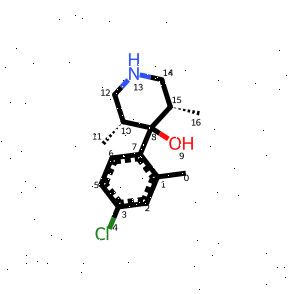 Cc1cc(Cl)ccc1C1(O)[C@H](C)CNC[C@@H]1C